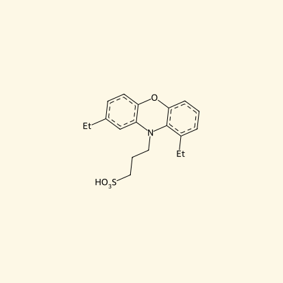 CCc1ccc2c(c1)N(CCCS(=O)(=O)O)c1c(CC)cccc1O2